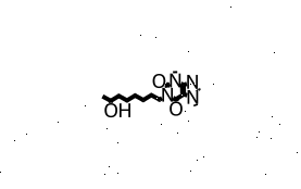 CC(O)CCCCCCn1c(=O)c2c(ncn2C)n(C)c1=O